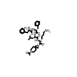 CC(=O)N1CCC2(CC1)CN(C(=O)[C@@H](CCCCN)NC(=O)[C@@H](CC(C)C)NC(=O)[C@@H](Cc1ccccc1)NC(=O)[C@H](N)Cc1ccccc1)C2